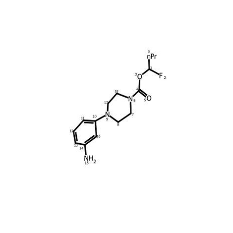 CCCC(F)OC(=O)N1CCN(c2cccc(N)c2)CC1